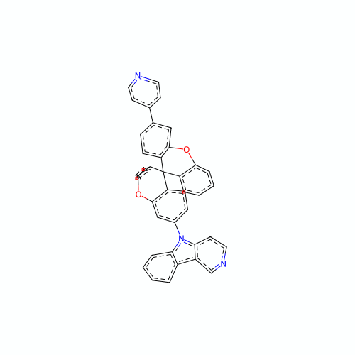 c1ccc2c(c1)Oc1cc(-c3ccncc3)ccc1C21c2ccccc2Oc2cc(-n3c4ccccc4c4cnccc43)ccc21